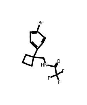 O=C(NCC1(c2ccc(Br)cc2)CCC1)C(F)(F)F